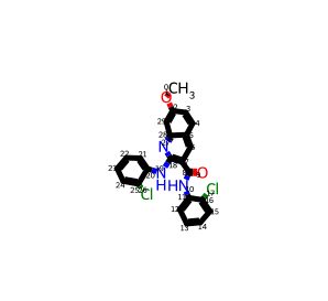 COc1ccc2cc(C(=O)Nc3ccccc3Cl)c(Nc3ccccc3Cl)nc2c1